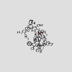 CC(=O)O[C@@]12CO[C@@H]1CC[C@@]1(C)[C@@H]3O[C@H](CN4CCC4)O[C@@H]3C3=C(C)[C@@H](OC(=O)[C@H](O)[C@@H](NC(=O)OC(C)(C)C)c4ncccn4)C[C@@](O)([C@@H](OC(=O)c4ccccc4)[C@@H]12)C3(C)C